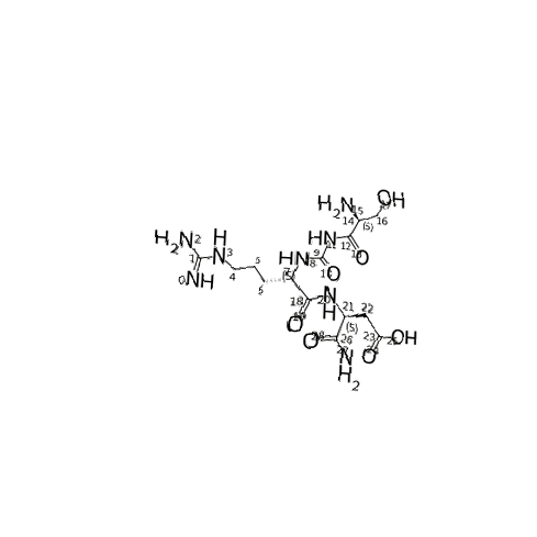 N=C(N)NCCC[C@H](NC(=O)NC(=O)[C@@H](N)CO)C(=O)N[C@@H](CC(=O)O)C(N)=O